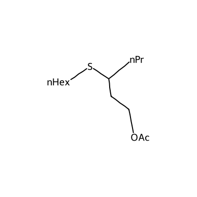 CCCCCCSC(CCC)CCOC(C)=O